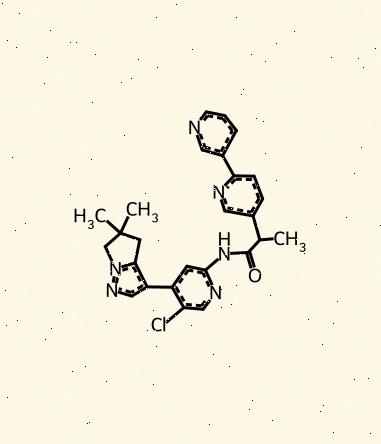 CC(C(=O)Nc1cc(-c2cnn3c2CC(C)(C)C3)c(Cl)cn1)c1ccc(-c2cccnc2)nc1